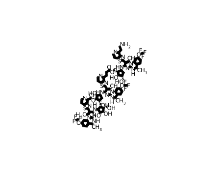 Cc1nc(N[C@H](C)c2ccc(OC(F)(F)F)cc2)nc(NC2C[C@H](CO)[C@@H](OC(C)c3nccc4sc(-c5c(C)nc(N[C@H](C)c6ccc(OC(F)(F)F)cc6)nc5NC5C[C@H](CO)[C@@H](O)[C@H]5O)nc34)[C@H]2O)c1-c1nc2c(CCC(=O)OO[C@H]3C(Nc4nc(N[C@H](C)c5ccc(OC(F)(F)F)cc5)nc(C)c4-c4nc5c(CCN)nccc5s4)C[C@H](CO)[C@H]3O)nccc2s1